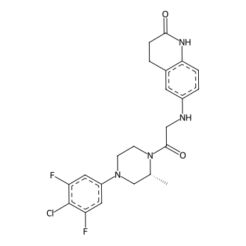 C[C@@H]1CN(c2cc(F)c(Cl)c(F)c2)CCN1C(=O)CNc1ccc2c(c1)CCC(=O)N2